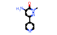 Cn1nc(-c2ccncc2)cc(N)c1=O